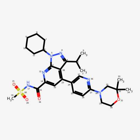 CC(C)c1nn(C2CCCCC2)c2nc(C(=O)NS(C)(=O)=O)cc(-c3ccc(N4CCOC(C)(C)C4)nc3)c12